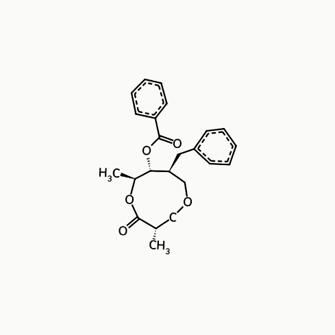 C[C@@H]1OC(=O)[C@@H](C)COC[C@H](Cc2ccccc2)[C@H]1OC(=O)c1ccccc1